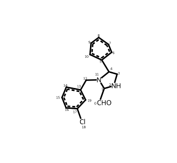 O=CC1NCC(c2ccccc2)N1Cc1cccc(Cl)c1